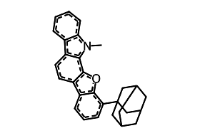 Cn1c2ccccc2c2ccc3c4cccc(C56CC7CC(CC(C7)C5)C6)c4oc3c21